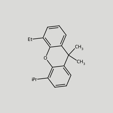 CCc1cccc2c1Oc1c(C(C)C)cccc1C2(C)C